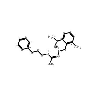 CC(=NOCc1c(C)cccc1N(C)N)OCCCc1ccccc1